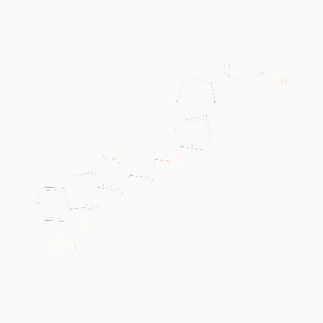 CC(C)S(=O)(=O)c1ccccc1Nc1nc(NCOc2ccc3c(c2)CCCC(NCCO)C3)ncc1Cl